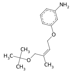 CC(=CCOc1cccc(N)c1)COC(C)(C)C